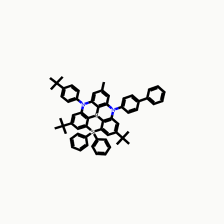 Cc1cc2c3c(c1)N(c1ccc(C(C)(C)C)cc1)c1cc(C(C)(C)C)cc4c1B3c1c(cc(C(C)(C)C)cc1[Si]4(c1ccccc1)c1ccccc1)N2c1ccc(-c2ccccc2)cc1